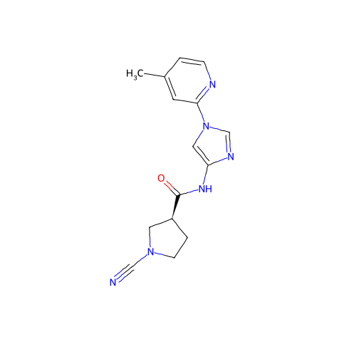 Cc1ccnc(-n2cnc(NC(=O)[C@H]3CCN(C#N)C3)c2)c1